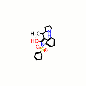 CC(c1c(O)n(S(=O)(=O)c2ccccc2)c2ccccc12)C1CCCN1